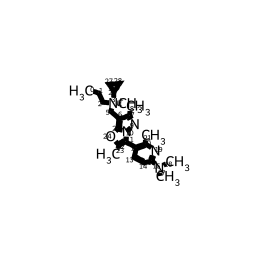 CCC[N+](C)(Cc1c(C)nn2c(-c3ccc(N(C)C)nc3C)c(C)oc12)C1CC1